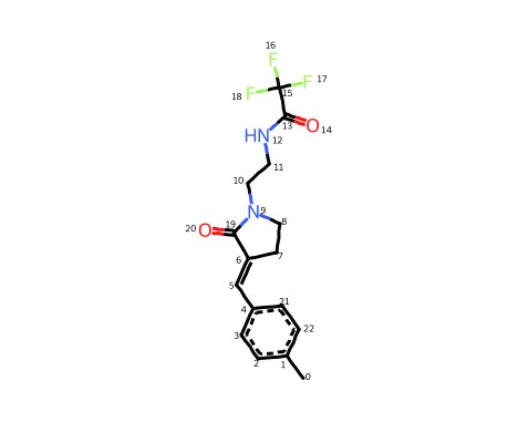 Cc1ccc(/C=C2\CCN(CCNC(=O)C(F)(F)F)C2=O)cc1